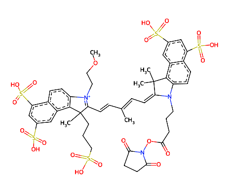 COCC[N+]1=C(/C=C/C(C)=C/C=C2/N(CCCC(=O)ON3C(=O)CCC3=O)c3ccc4c(S(=O)(=O)O)cc(S(=O)(=O)O)cc4c3C2(C)C)C(C)(CCCS(=O)(=O)O)c2c1ccc1c(S(=O)(=O)O)cc(S(=O)(=O)O)cc21